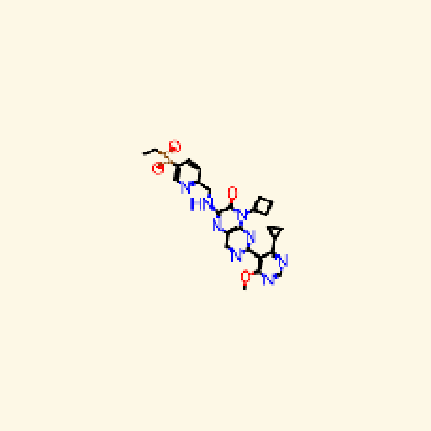 CCS(=O)(=O)c1ccc(CNc2nc3cnc(-c4c(OC)ncnc4C4CC4)nc3n(C3CCC3)c2=O)nc1